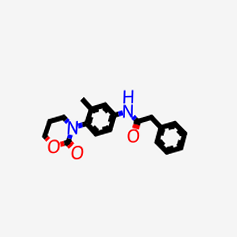 Cc1cc(NC(=O)Cc2ccccc2)ccc1N1CCCOC1=O